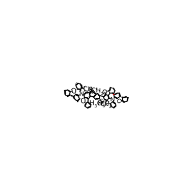 Cc1ccccc1N(c1cccc2c1oc1ccccc12)c1cc2c(c3c1oc1ccccc13)-c1cc3c(cc1[Si]2(C)C)-c1c(cc(N(c2ccccc2C)c2cccc4c2oc2ccccc24)c2c1oc1ccccc12)[Si]3(C)C